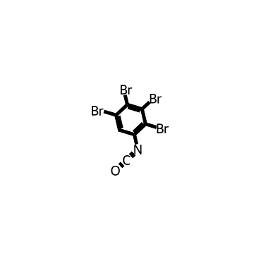 O=C=Nc1cc(Br)c(Br)c(Br)c1Br